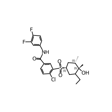 CCC1C[C@@H](S(=O)(=O)c2cc(C(=O)Nc3ccc(F)c(F)c3)ccc2Cl)C[C@H](C)[C@]1(C)O